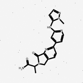 CC(C(N)=O)N1Cc2ccc(-c3ccnc(Nc4ccnn4C)c3)nc2C1=O